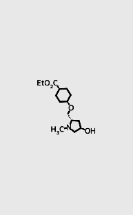 CCOC(=O)[C@H]1CC[C@@H](OC[C@@H]2C[C@@H](O)CN2C)CC1